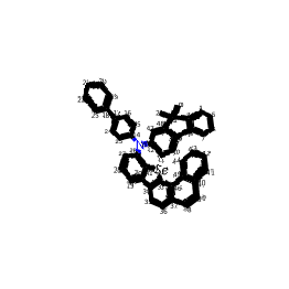 CC1(C)c2ccccc2-c2ccc(N(c3ccc(-c4ccccc4)cc3)c3cccc4c3[se]c3c4ccc4ccc5ccccc5c43)cc21